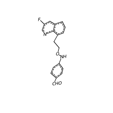 O=Cc1ccc(NOCCc2cccc3cc(F)cnc23)cc1